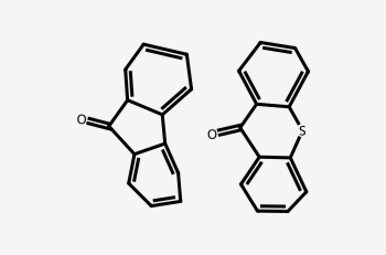 O=C1c2ccccc2-c2ccccc21.O=c1c2ccccc2sc2ccccc12